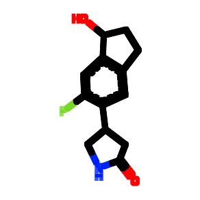 O=C1CC(c2cc3c(cc2F)C(O)CC3)CN1